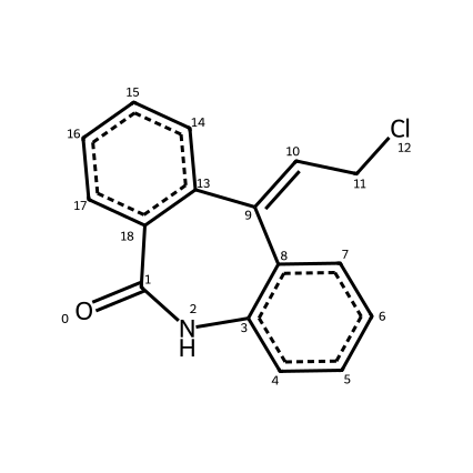 O=C1Nc2ccccc2C(=CCCl)c2ccccc21